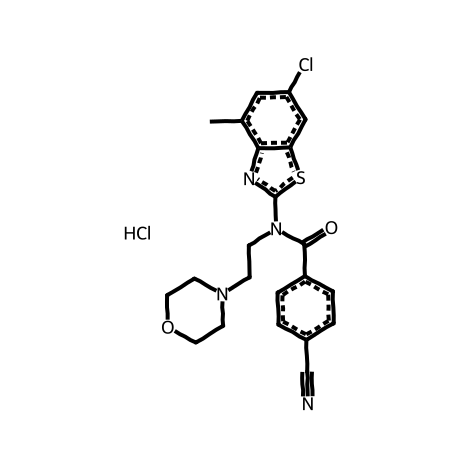 Cc1cc(Cl)cc2sc(N(CCN3CCOCC3)C(=O)c3ccc(C#N)cc3)nc12.Cl